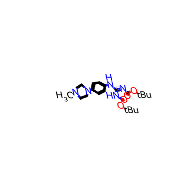 CN1CCN(c2ccc(N/C(=N/C(=O)OC(C)(C)C)NC(=O)OC(C)(C)C)cc2)CC1